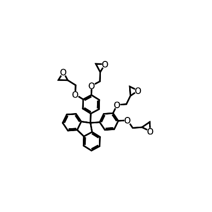 c1ccc2c(c1)-c1ccccc1C2(c1ccc(OCC2CO2)c(OCC2CO2)c1)c1ccc(OCC2CO2)c(OCC2CO2)c1